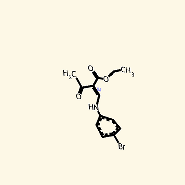 CCOC(=O)/C(=C/Nc1ccc(Br)cc1)C(C)=O